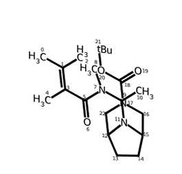 CC(C)=C(C)C(=O)N(C)C(C)N1C2CCC1CN(C(=O)OC(C)(C)C)C2